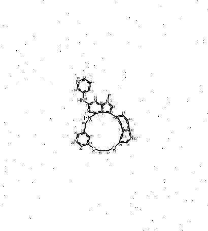 Cn1cc2c3c(nc(Nc4cccnc4)nc31)NCc1cncc(c1)OCCOc1cnc3ccc-2cc3c1